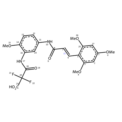 COc1cc(OC)c(/C=C/C(=O)Nc2ccc(OC)c(NC(=O)C(F)(F)C(=O)O)c2)c(OC)c1